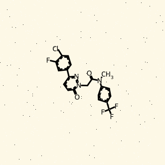 CN(C(=O)Cn1nc(-c2ccc(Cl)c(F)c2)ccc1=O)c1ccc(C(F)(F)F)cc1